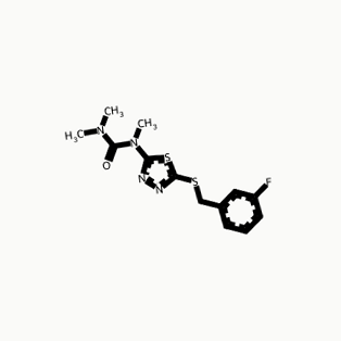 CN(C)C(=O)N(C)c1nnc(SCc2cccc(F)c2)s1